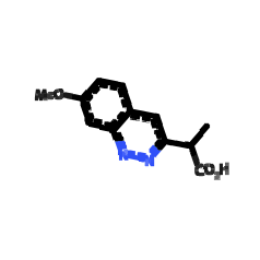 COc1ccc2cc(C(C)C(=O)O)nnc2c1